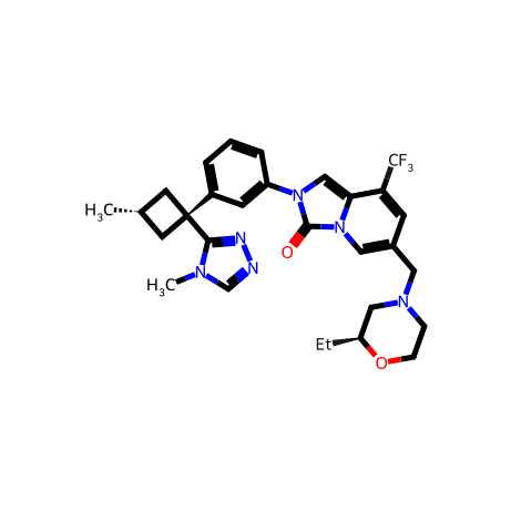 CC[C@H]1CN(Cc2cc(C(F)(F)F)c3cn(-c4cccc([C@]5(c6nncn6C)C[C@@H](C)C5)c4)c(=O)n3c2)CCO1